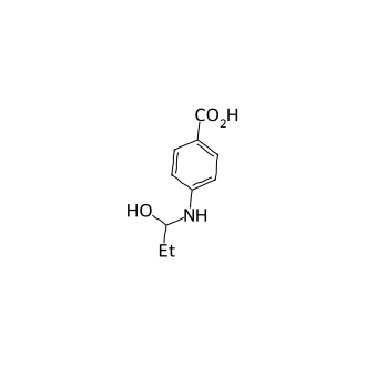 CCC(O)Nc1ccc(C(=O)O)cc1